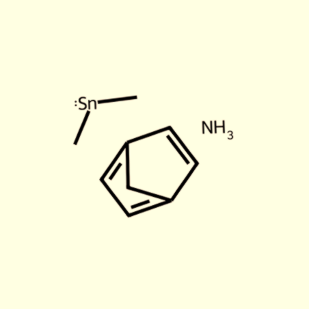 C1=CC2=CC=C1C2.N.[CH3][Sn][CH3]